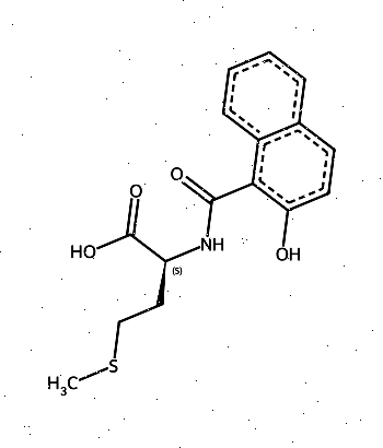 CSCC[C@H](NC(=O)c1c(O)ccc2ccccc12)C(=O)O